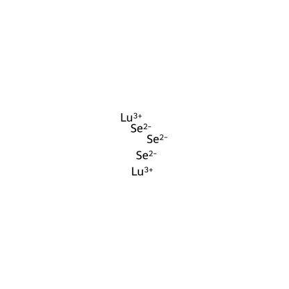 [Lu+3].[Lu+3].[Se-2].[Se-2].[Se-2]